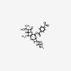 C[C@@H](O)C1C(=O)N2C(C(=O)OC(=O)c3ccc([N+](=O)[O-])cc3)=C(CN3CC(NS(N)(=O)=O)C3)[C@H](C)[C@H]12